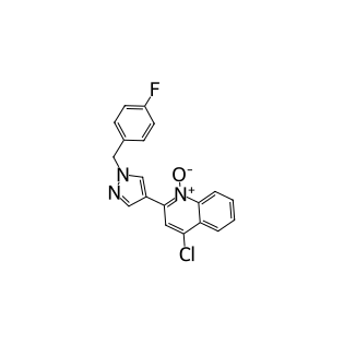 [O-][n+]1c(-c2cnn(Cc3ccc(F)cc3)c2)cc(Cl)c2ccccc21